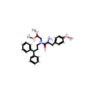 CCOC(CN(CCC(c1ccccc1)c1ccccc1)C(=O)[C@@H](N)Cc1ccc(OC(C)(C)C)cc1)OCC